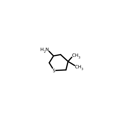 CC1(C)CSCC(N)C1